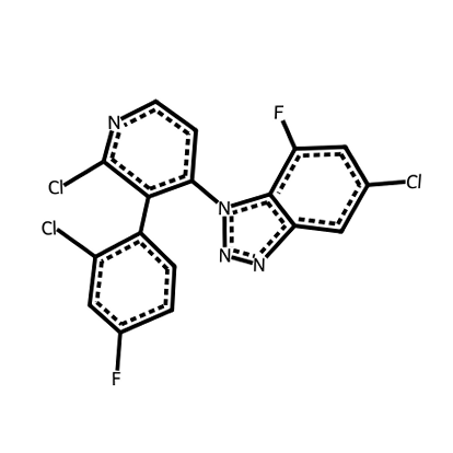 Fc1ccc(-c2c(-n3nnc4cc(Cl)cc(F)c43)ccnc2Cl)c(Cl)c1